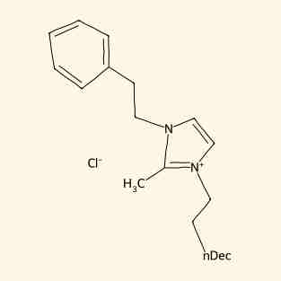 CCCCCCCCCCCC[n+]1ccn(CCc2ccccc2)c1C.[Cl-]